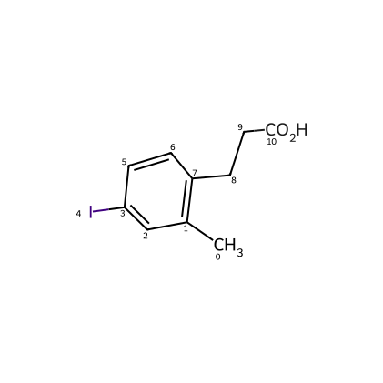 Cc1cc(I)ccc1CCC(=O)O